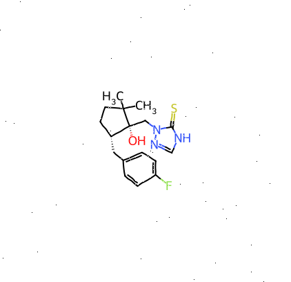 CC1(C)CC[C@@H](Cc2ccc(F)cc2)[C@]1(O)Cn1nc[nH]c1=S